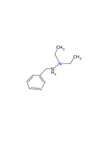 CCN(CC)[SiH2]Cc1ccccc1